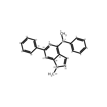 CN(c1ccccc1)c1nc(-c2ccccc2)nc2c1cnn2C